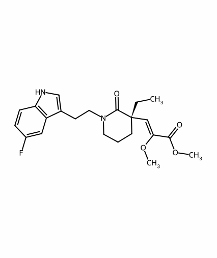 CC[C@@]1(/C=C(\OC)C(=O)OC)CCCN(CCc2c[nH]c3ccc(F)cc23)C1=O